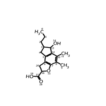 CCCC1Cc2c3c(c(C)c(C)c2C1O)OC(C(=O)O)C3